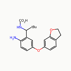 CC(C)(C)C(NC(=O)O)c1cc(Oc2ccc3c(c2)OCC3)ccc1N